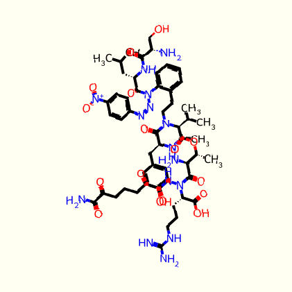 CCN[C@@H](Cc1ccc(O)cc1)C(=O)N(CCc1ccccc1N(N=Nc1ccc([N+](=O)[O-])cc1)C(=O)[C@H](CC(C)C)NC(=O)[C@@H](N)CO)[C@H](C(=O)O[C@H](C)[C@H](N)C(=O)N(NC(=O)C(=O)CCCC(=O)C(N)=O)[C@@H](CCCNC(=N)N)C(=O)O)C(C)C